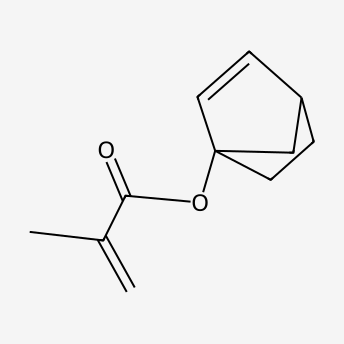 C=C(C)C(=O)OC12C=CC(CC1)C2